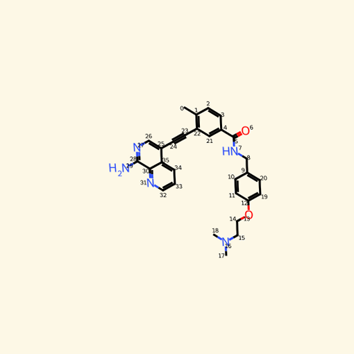 Cc1ccc(C(=O)NCc2ccc(OCCN(C)C)cc2)cc1C#Cc1cnc(N)c2ncccc12